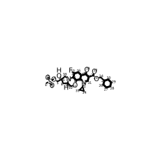 CS(=O)(=O)OC[C@]1(O)C[C@H]2COc3c(c(F)cc4c(=O)c(C(=O)OCc5ccccc5)cn(C5CC5)c34)N2C1